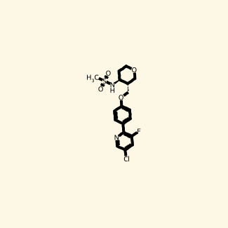 CS(=O)(=O)N[C@H]1CCOC[C@@H]1COc1ccc(-c2ncc(Cl)cc2F)cc1